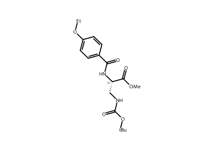 CCOc1ccc(C(=O)N[C@@H](CNC(=O)OC(C)(C)C)C(=O)OC)cc1